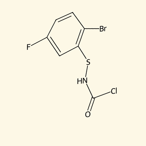 O=C(Cl)NSc1cc(F)ccc1Br